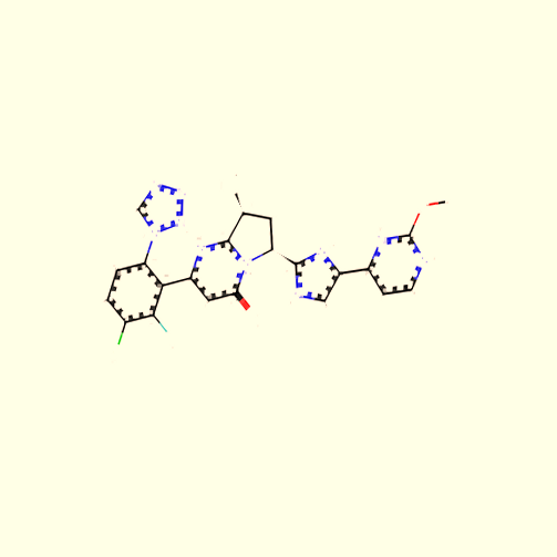 COc1nccc(-c2cnc([C@@H]3C[C@H](C)c4nc(-c5c(-n6cnnn6)ccc(Cl)c5F)cc(=O)n43)[nH]2)n1